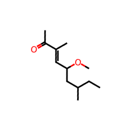 CCC(C)CC(/C=C(\C)C(C)=O)OC